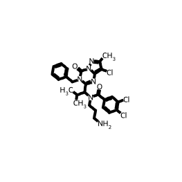 Cc1nn2c(=O)n(Cc3ccccc3)c(C(C(C)C)N(CCCN)C(=O)c3ccc(Cl)c(Cl)c3)nc2c1Cl